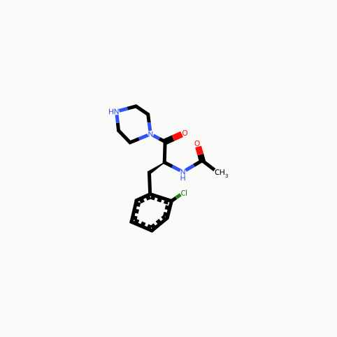 CC(=O)N[C@@H](Cc1ccccc1Cl)C(=O)N1CCNCC1